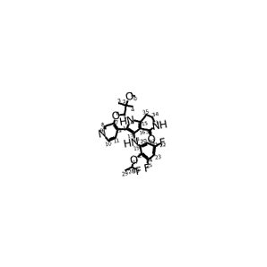 COC(C)(C)COc1cnccc1-c1[nH]c2c(c1Nc1cc(F)cc(F)c1OC(C)F)C(=O)NCC2